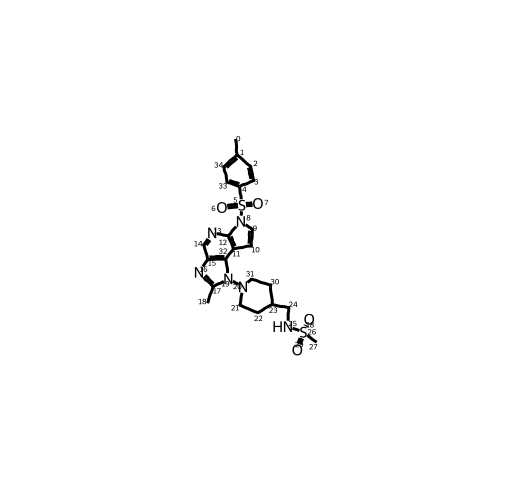 Cc1ccc(S(=O)(=O)n2ccc3c2ncc2nc(C)n(N4CCC(CNS(C)(=O)=O)CC4)c23)cc1